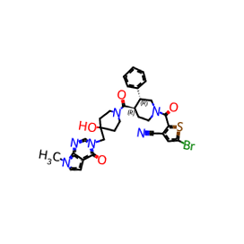 Cn1ccc2c(=O)n(CC3(O)CCN(C(=O)[C@@H]4CCN(C(=O)c5sc(Br)cc5C#N)C[C@H]4c4ccccc4)CC3)cnc21